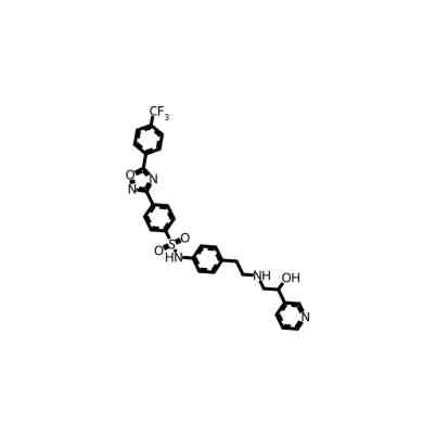 O=S(=O)(Nc1ccc(CCNCC(O)c2cccnc2)cc1)c1ccc(-c2noc(-c3ccc(C(F)(F)F)cc3)n2)cc1